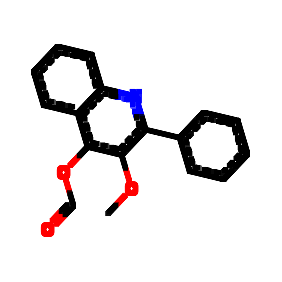 COc1c(-c2ccccc2)nc2ccccc2c1OC=O